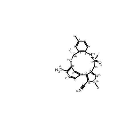 Cc1ccc2c(c1)[C@@H](C)Oc1cc(cnc1N)-c1c(nn(C)c1C#N)CS(C)(=O)=N2